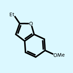 CCc1cc2ccc(OC)cc2o1